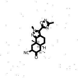 Cc1noc(-c2c3c(nn2C)[C@@]2(C)CC(C#N)C(=O)[C@@H](C)[C@@H]2CC3)n1